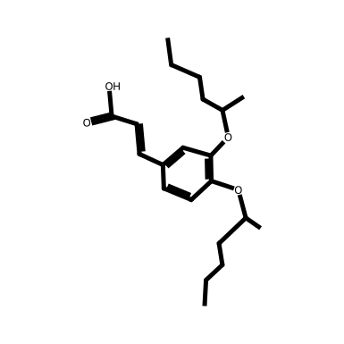 CCCCC(C)Oc1ccc(C=CC(=O)O)cc1OC(C)CCCC